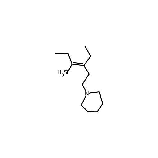 CCC([SiH3])=C(CC)CCN1CCCCC1